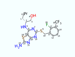 CC(C)C[C@H](CO)Nc1nc(SCc2cccc(C(F)(F)F)c2F)nc2nc(N)sc12